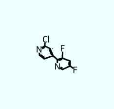 Fc1cnc(-c2[c]c(Cl)ncc2)c(F)c1